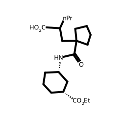 CCCC(CC1(C(=O)N[C@H]2CCC[C@@H](C(=O)OCC)C2)CCCC1)C(=O)O